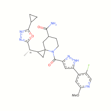 COc1cc(-c2cc(C(=O)N3CCC(C(N)=O)CC34CC4[C@H](C)c3nnc(C4CC4)o3)n[nH]2)c(F)cn1